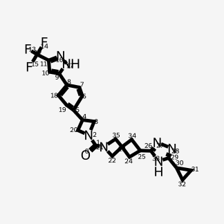 O=C(N1CC(c2ccc(-c3cc(C(F)(F)F)n[nH]3)cc2)C1)N1CC2(CC(c3nnc(C4CC4)[nH]3)C2)C1